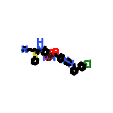 Cc1cc(S(=O)(=O)NC(=O)c2ccc(N3CCN(Cc4ccccc4-c4ccc(Cl)cc4)CC3)cc2)ccc1N[C@H](CCCCN(C)C)CSc1ccccc1